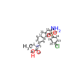 CC/C(=C\c1ccc2c(c1)CC(CC(N)S(=O)(=O)c1ccc(Cl)cc1)C2)C(=O)O